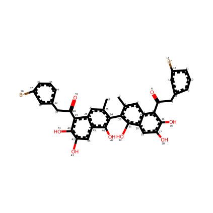 Cc1cc2c(C(=O)Cc3cccc(Br)c3)c(O)c(O)cc2c(O)c1-c1c(C)cc2c(C(=O)Cc3cccc(Br)c3)c(O)c(O)cc2c1O